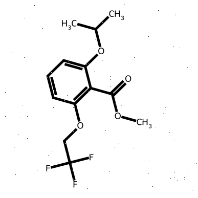 COC(=O)c1c(OCC(F)(F)F)cccc1OC(C)C